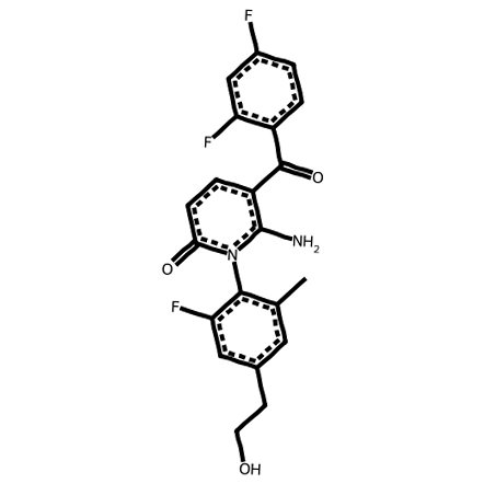 Cc1cc(CCO)cc(F)c1-n1c(N)c(C(=O)c2ccc(F)cc2F)ccc1=O